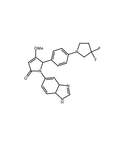 COC1=CC(=O)N(C2=CC3N=CNC3C=C2)C1c1ccc(N2CCC(F)(F)C2)cc1